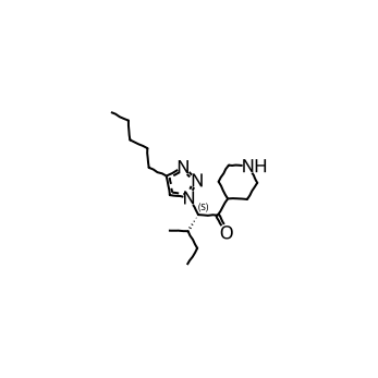 CCCCCc1cn([C@H](C(=O)C2CCNCC2)C(C)CC)nn1